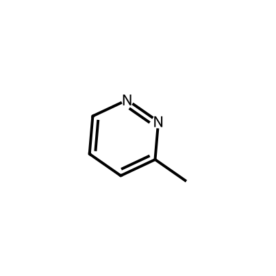 Cc1cccnn1